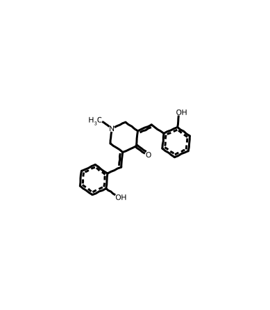 CN1CC(=Cc2ccccc2O)C(=O)C(=Cc2ccccc2O)C1